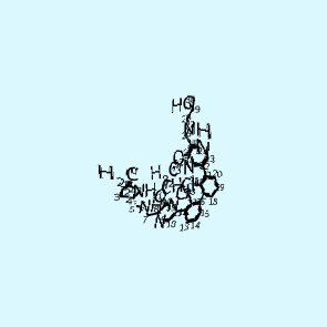 C=C1CC[C@@H](CNCc2ncc(-c3cccc(-c4cccc(-c5cnc(CNCCO)c(OC)n5)c4Cl)c3Cl)nc2OC)N1